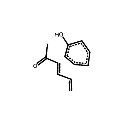 C=C/C=C/C(C)=O.Oc1ccccc1